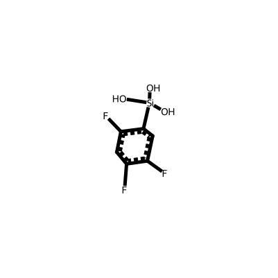 O[Si](O)(O)c1cc(F)c(F)cc1F